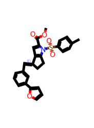 COC(=O)c1cc2c(n1S(=O)(=O)c1ccc(C)cc1)CC/C2=C\c1cccc(-c2ccco2)c1